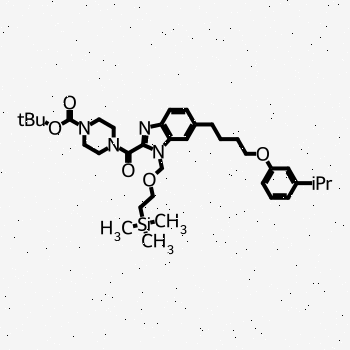 CC(C)c1cccc(OCCCCc2ccc3nc(C(=O)N4CCN(C(=O)OC(C)(C)C)CC4)n(COCC[Si](C)(C)C)c3c2)c1